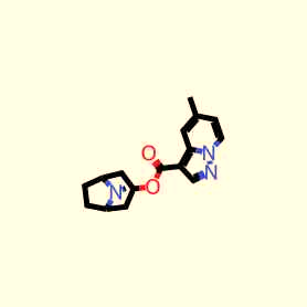 Cc1ccn2ncc(C(=O)OC3CC4CCC(C3)N4C)c2c1